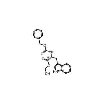 O=C(NC(Cc1c[nH]c2ccccc12)[PH](=O)OCO)OCc1ccccc1